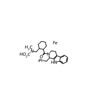 CC(C)CC1c2[nH]c3ccccc3c2CCN1C(=O)C1CCCCC1CN(C)C(=O)O.[Fe]